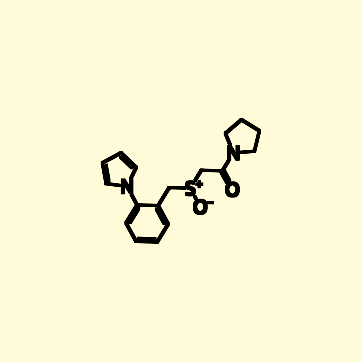 O=C(C[S+]([O-])Cc1ccccc1-n1cccc1)N1CCCC1